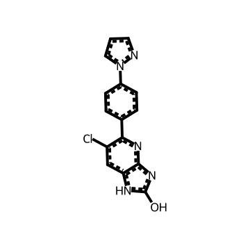 Oc1nc2nc(-c3ccc(-n4cccn4)cc3)c(Cl)cc2[nH]1